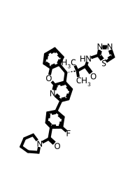 CC(C)(C(=O)Nc1nncs1)[C@H]1c2ccccc2Oc2nc(-c3ccc(C(=O)N4CCCCC4)c(F)c3)ccc21